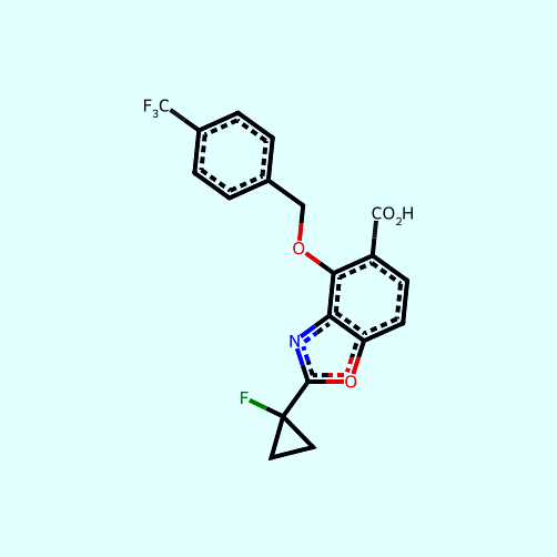 O=C(O)c1ccc2oc(C3(F)CC3)nc2c1OCc1ccc(C(F)(F)F)cc1